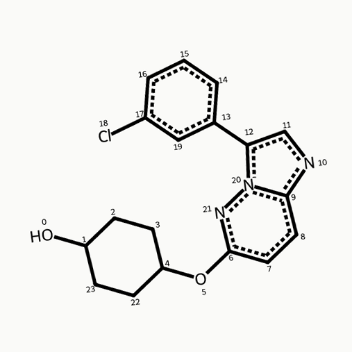 OC1CCC(Oc2ccc3ncc(-c4cccc(Cl)c4)n3n2)CC1